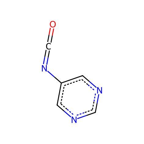 O=C=Nc1cncnc1